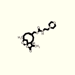 C=C1C(=O)O[C@@]23CO[C@](C)(CC/C=C(/COC(=O)NCCN4CCOCC4)CC[C@@H]12)C3